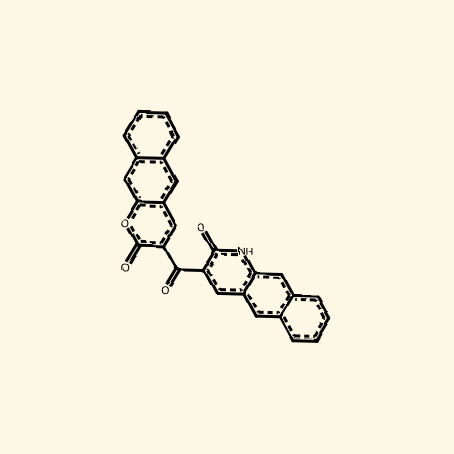 O=C(c1cc2cc3ccccc3cc2[nH]c1=O)c1cc2cc3ccccc3cc2oc1=O